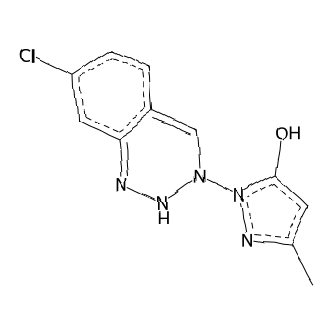 Cc1cc(O)n(N2C=c3ccc(Cl)cc3=NN2)n1